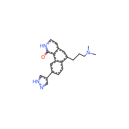 CN(C)CCCc1cc2cc[nH]c(=O)c2c2cc(-c3cn[nH]c3)ccc12